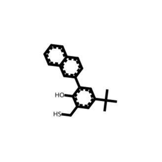 CC(C)(C)c1cc(CS)c(O)c(-c2ccc3ccccc3c2)c1